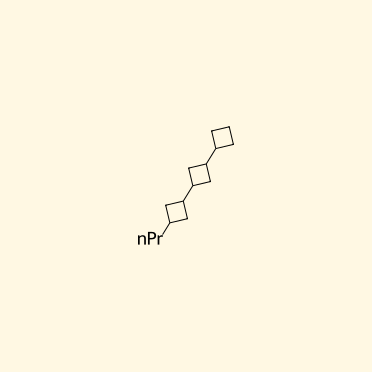 CCCC1CC(C2CC(C3CCC3)C2)C1